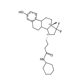 C[C@]12CCC3c4ccc(O)cc4CCC3C1[C@@H](CCCC(=O)NC1CCCCC1)CC2(F)F